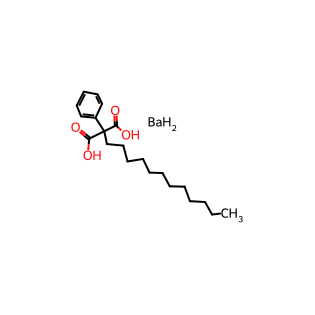 CCCCCCCCCCCCC(C(=O)O)(C(=O)O)c1ccccc1.[BaH2]